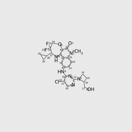 Cn1c(=O)c2c(c3cc(Nc4nc(N5CCC5CO)ncc4Cl)ccc31)NC(C1CC1)C(F)(F)CO2